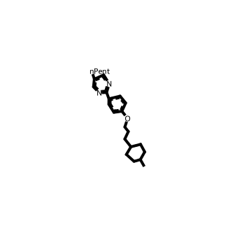 CCCCCc1cnc(-c2ccc(OCCCC3CCC(C)CC3)cc2)nc1